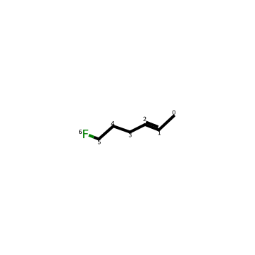 C/C=C/CCCF